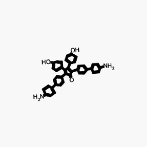 Nc1ccc(-c2ccc(C3=C(c4ccc(O)cc4)C(c4ccc(O)cc4)=C(c4ccc(-c5ccc(N)cc5)cc4)C3=O)cc2)cc1